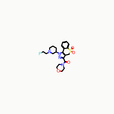 O=C(c1nn(C2CCCN(CCF)C2)c2c1CS(=O)(=O)c1ccccc1-2)N1CCOCC1